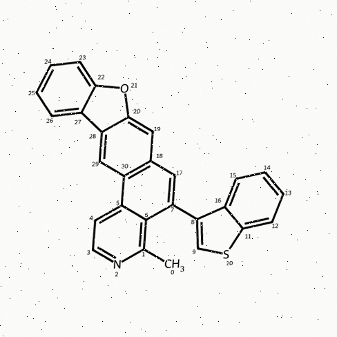 Cc1nccc2c1c(-c1csc3ccccc13)cc1cc3oc4ccccc4c3cc12